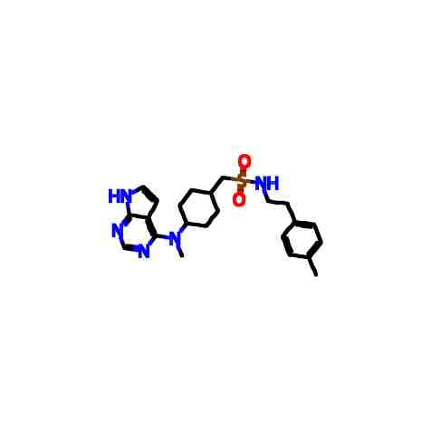 Cc1ccc(CCNS(=O)(=O)CC2CCC(N(C)c3ncnc4[nH]ccc34)CC2)cc1